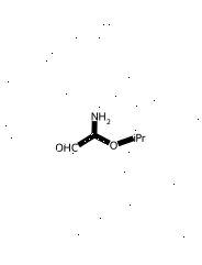 CC(C)OC(N)C=O